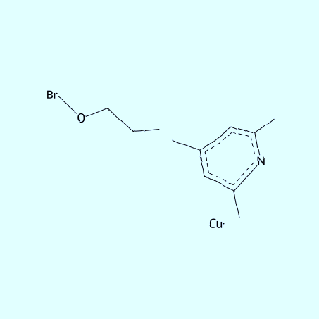 CCCOBr.Cc1cc(C)nc(C)c1.[Cu]